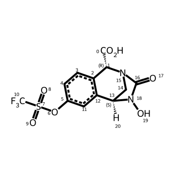 O=C(O)[C@H]1c2ccc(OS(=O)(=O)C(F)(F)F)cc2[C@H]2CN1C(=O)N2O